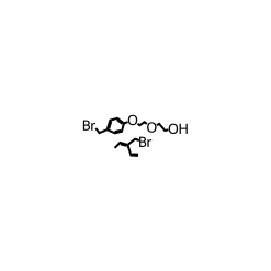 C=C/C(=C\C)CBr.OCCOCCOc1ccc(CBr)cc1